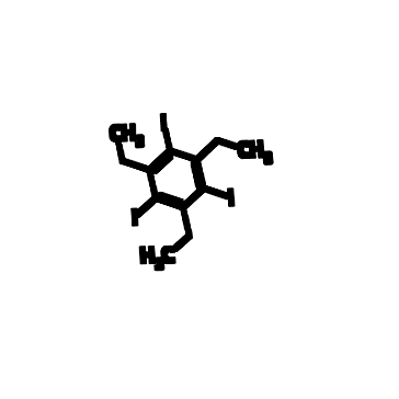 CCc1c(I)c(CC)c(I)c(CC)c1I